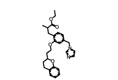 CCOC(=O)C(C)Cc1ccc(Cn2ccnc2)cc1OCCC1CCc2ccccc2O1